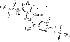 CC(c1cnc(OCC(C)(F)F)c(Cl)c1)N1Cc2c(ccnc2NC(=O)[C@@H](C)O)C1=O